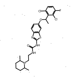 CC(Oc1ccc2nc(NC(=O)NCCN3C(C)CCCC3C)sc2c1)c1c(Cl)ccc(F)c1Cl